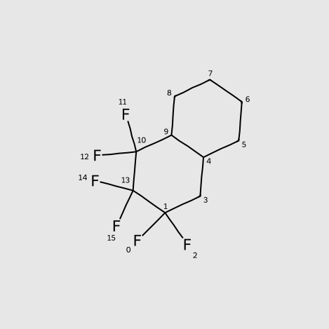 FC1(F)CC2CCCCC2C(F)(F)C1(F)F